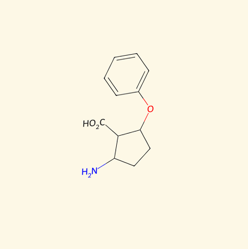 NC1CCC(Oc2ccccc2)C1C(=O)O